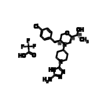 C[C@@H](O)[C@H]1CN(C2CCN(c3nnc(N)[nH]3)CC2)[C@@H](Cc2ccc(Cl)cc2)CO1.O=C(O)C(F)(F)F